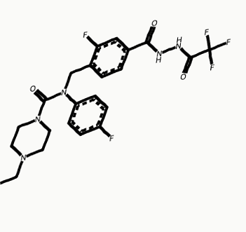 CCN1CCN(C(=O)N(Cc2ccc(C(=O)NNC(=O)C(F)(F)F)cc2F)c2ccc(F)cc2)CC1